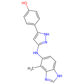 Cc1c(Nc2cc(-c3ccc(O)cc3)[nH]n2)ccc2[nH]cnc12